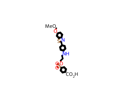 COCOc1ccc2nc(-c3ccc(NCCCOS(=O)(=O)c4ccc(C(=O)O)cc4)cc3)sc2c1